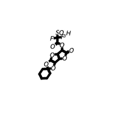 O=C1OC2C3OC4(CCCCC4)OC3OC2C1OC(=O)C(F)(F)S(=O)(=O)O